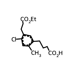 CCOC(=O)CCc1cc(CCCC(=O)O)c(C)cc1Cl